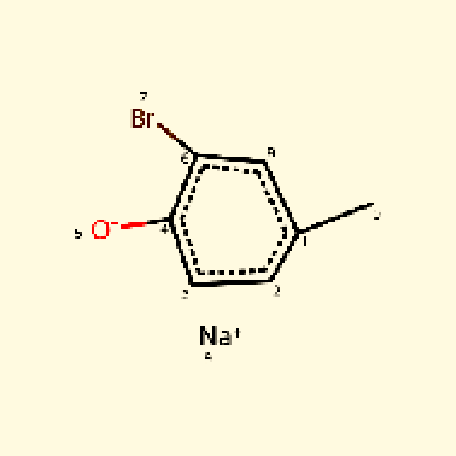 Cc1ccc([O-])c(Br)c1.[Na+]